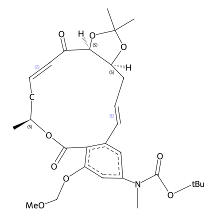 COCOc1cc(N(C)C(=O)OC(C)(C)C)cc2c1C(=O)O[C@@H](C)C/C=C\C(=O)[C@H]1OC(C)(C)O[C@H]1C/C=C/2